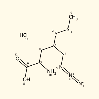 CSSC(CN=[N+]=[N-])CC(N)C(=O)O.Cl